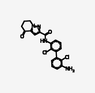 Nc1cccc(-c2cccc(NC(=O)c3cc4n(n3)CCCC4=O)c2Cl)c1Cl